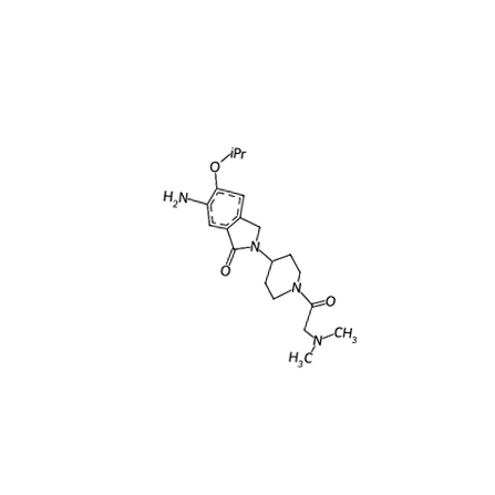 CC(C)Oc1cc2c(cc1N)C(=O)N(C1CCN(C(=O)CN(C)C)CC1)C2